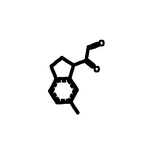 Cc1ccc2c(c1)C(C(=O)C=O)CC2